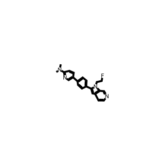 CN(C)c1ccc(-c2ccc(-c3cc4ccncc4n3CCF)cc2)cn1